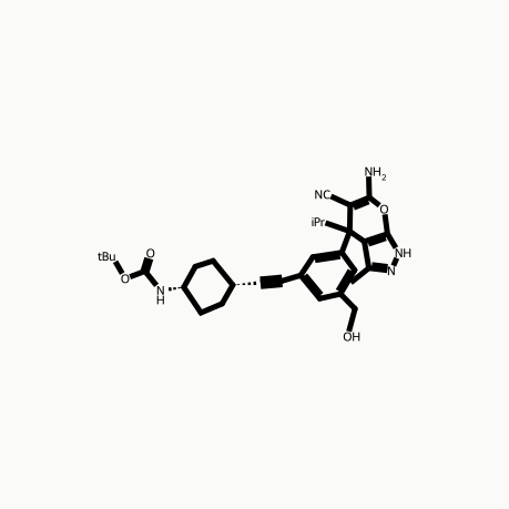 Cc1n[nH]c2c1C(c1cc(C#C[C@H]3CC[C@@H](NC(=O)OC(C)(C)C)CC3)cc(CO)c1)(C(C)C)C(C#N)=C(N)O2